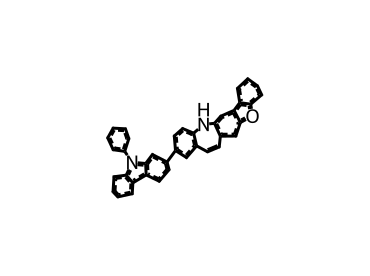 C1=Cc2cc3oc4ccccc4c3cc2Nc2ccc(-c3ccc4c5ccccc5n(-c5ccccc5)c4c3)cc21